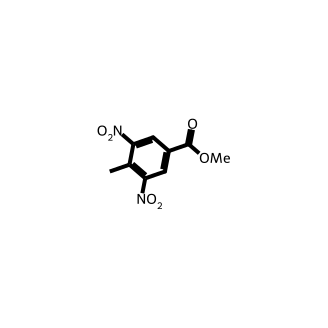 COC(=O)c1cc([N+](=O)[O-])c(C)c([N+](=O)[O-])c1